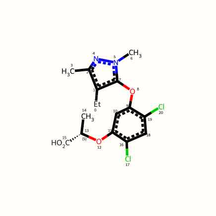 CCc1c(C)nn(C)c1Oc1cc(O[C@@H](C)C(=O)O)c(Cl)cc1Cl